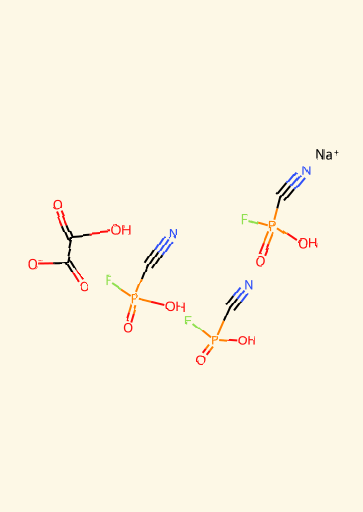 N#CP(=O)(O)F.N#CP(=O)(O)F.N#CP(=O)(O)F.O=C([O-])C(=O)O.[Na+]